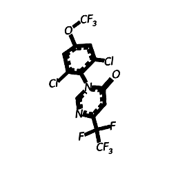 O=c1cc(C(F)(F)C(F)(F)F)ncn1-c1c(Cl)cc(OC(F)(F)F)cc1Cl